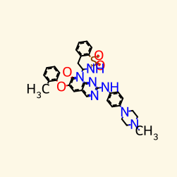 Cc1ccccc1Oc1cc2cnc(Nc3ccc(N4CCN(C)CC4)cc3)nc2n(C2Cc3ccccc3S(=O)(=O)N2)c1=O